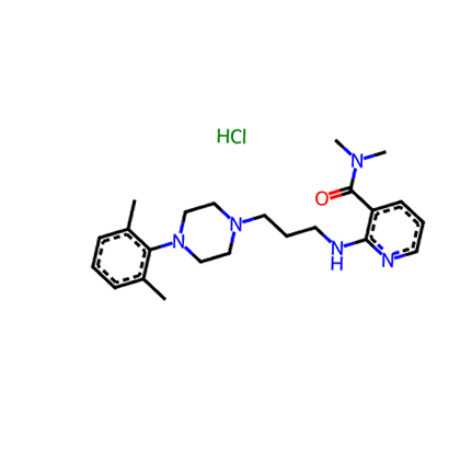 Cc1cccc(C)c1N1CCN(CCCNc2ncccc2C(=O)N(C)C)CC1.Cl